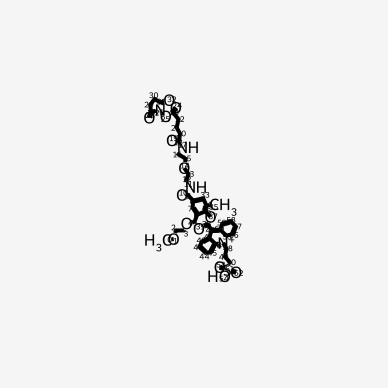 COCCOCc1cc(C(=O)NCCOCCNC(=O)CCCC(=O)ON2C(=O)CCC2=O)cc(C)c1OC(=O)c1c2ccccc2[n+](CCCS(=O)(=O)O)c2ccccc12